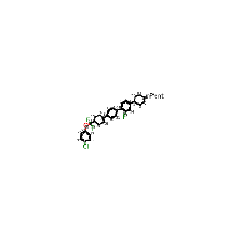 CCCCCC1CCC(c2ccc(-c3ccc(C4CCC(C(F)(F)Oc5ccc(Cl)cc5)CC4)cc3)c(F)c2)CC1